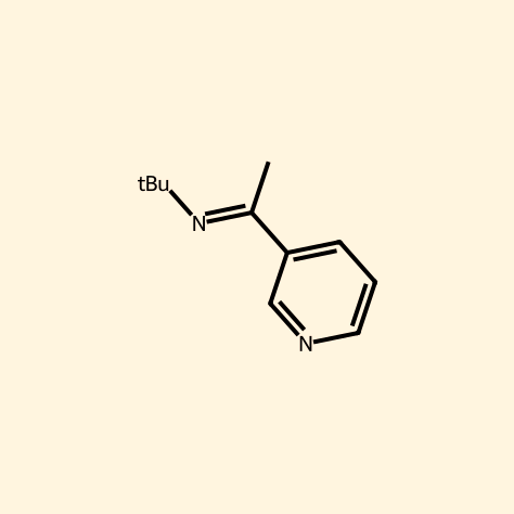 CC(=NC(C)(C)C)c1cccnc1